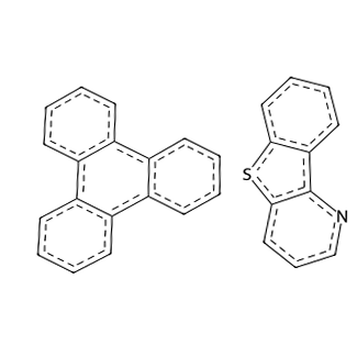 c1ccc2c(c1)c1ccccc1c1ccccc21.c1ccc2c(c1)sc1cccnc12